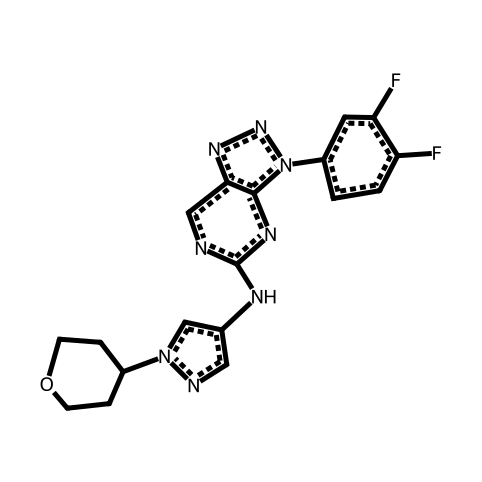 Fc1ccc(-n2nnc3cnc(Nc4cnn(C5CCOCC5)c4)nc32)cc1F